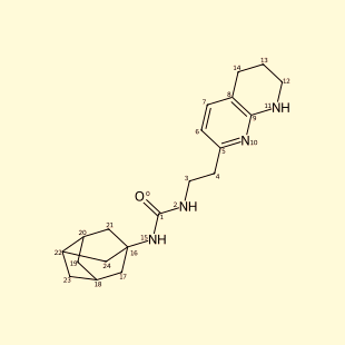 O=C(NCCc1ccc2c(n1)NCCC2)NC12CC3CC(C1)C(C3)C2